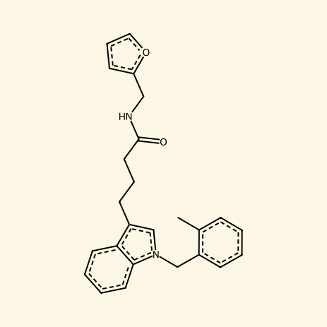 Cc1ccccc1Cn1cc(CCCC(=O)NCc2ccco2)c2ccccc21